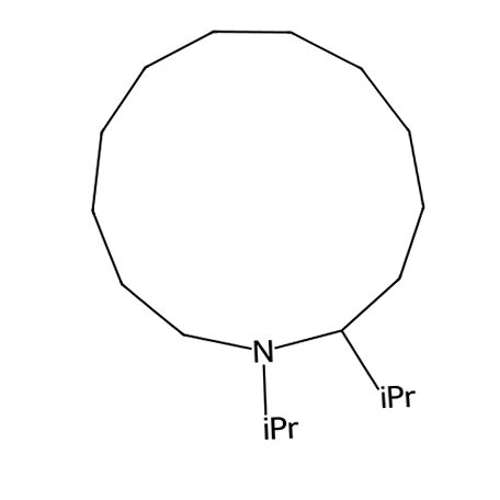 CC(C)C1CCCCCCCCCCCN1C(C)C